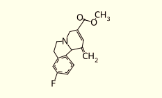 C=C1C=C(C(=O)OC)CN2CCc3cc(F)ccc3C12